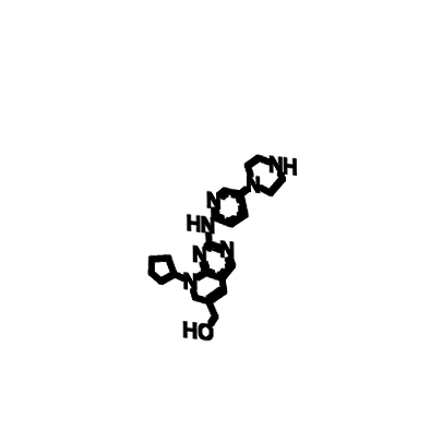 OCC1=Cc2cnc(Nc3ccc(N4CCNCC4)cn3)nc2N(C2CCCC2)C1